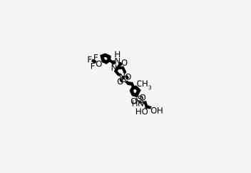 Cc1cc(S(=O)(=O)NC[C@@H](O)CO)ccc1C=CS(=O)(=O)N1CCC2(CC1)N=C(c1cccc(OC(F)(F)F)c1)NC2=O